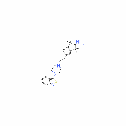 CC1(C)c2ccc(CCN3CCN(c4snc5ccccc45)CC3)cc2C(C)(C)C1N